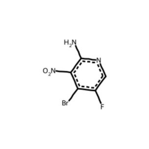 Nc1ncc(F)c(Br)c1[N+](=O)[O-]